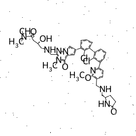 COc1nc(-c2cccc(-c3cccc(-c4cc5c(=O)n(C)c(CNC[C@H](O)CC(=O)N(C)C)nn5c4)c3Cl)c2Cl)ccc1CNC[C@H]1CCC(=O)N1